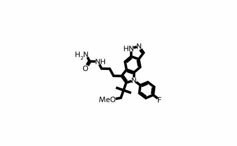 COCC(C)(C)c1c(CCCNC(N)=O)c2cc3[nH]ncc3cc2n1-c1ccc(F)cc1